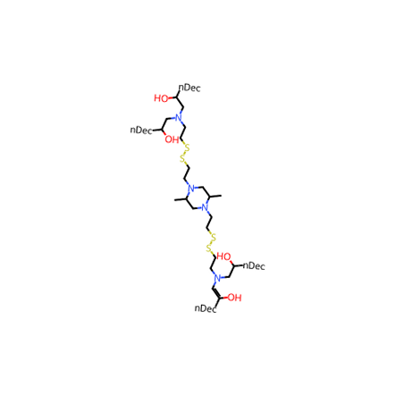 CCCCCCCCCC/C(O)=C/N(CCSSCCN1CC(C)N(CCSSCCN(CC(O)CCCCCCCCCC)CC(O)CCCCCCCCCC)CC1C)CC(O)CCCCCCCCCC